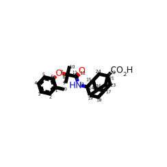 Cc1ccccc1OC(C)(C)C(=O)NC1C2CC3CC1CC(C(=O)O)(C3)C2